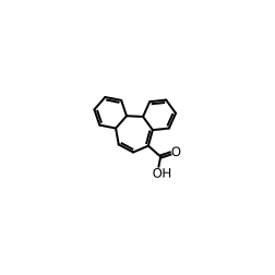 O=C(O)C1=C2C=CC=CC2C2C=CC=CC2C=C1